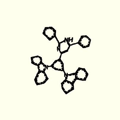 C1=C(c2cc(-n3c4ccccc4c4ccccc43)cc(-n3c4ccccc4c4ccccc43)c2)N=C(c2ccccc2)NC1c1ccccc1